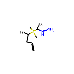 C=CCC(C(C)C)S(C)(C)C(NN)C(C)CC